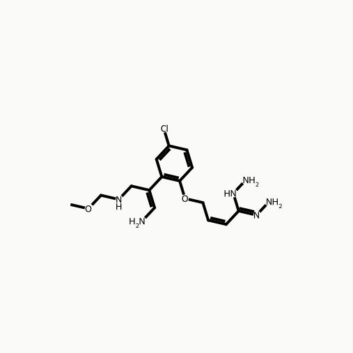 COCNC/C(=C\N)c1cc(Cl)ccc1OC/C=C\C(=N\N)NN